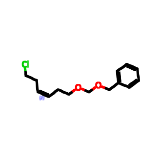 ClCC/C=C\CCOCOCc1ccccc1